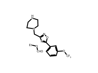 CCOC=O.FC(F)(F)Oc1cccc(-c2nc(CN3CCNCC3)no2)c1